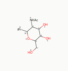 CC(=O)NC1C(O)C(O)C(CO)OC1C(C)C